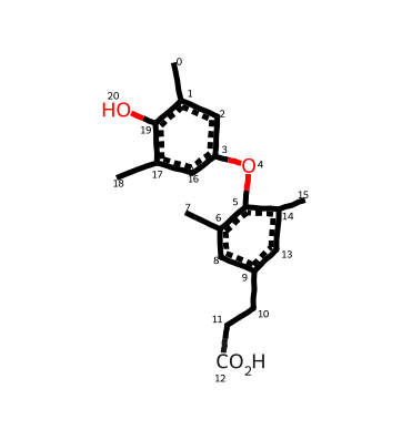 Cc1cc(Oc2c(C)cc(CCC(=O)O)cc2C)cc(C)c1O